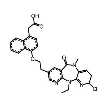 CCN1C2=NC(Cl)CC=C2N(C)C(=O)c2cc(CCOc3ccc(CC(=O)O)c4ccccc34)cnc21